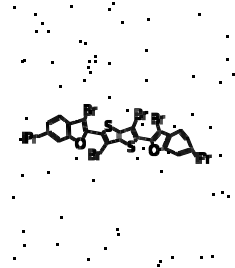 CC(C)c1ccc2c(Br)c(-c3sc4c(Br)c(-c5oc6cc(C(C)C)ccc6c5Br)sc4c3Br)oc2c1